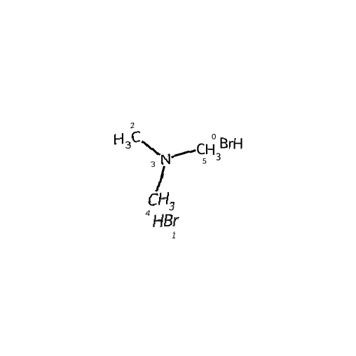 Br.Br.CN(C)C